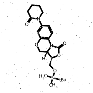 CC(C)(C)[Si](C)(C)OC[C@@H]1OC(=O)N2c3ccc(N4CCCCC4=O)cc3OC[C@@H]12